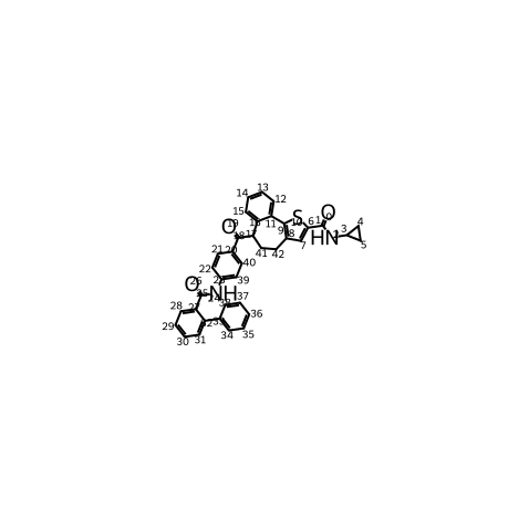 O=C(NC1CC1)c1cc2c(s1)-c1ccccc1C(C(=O)c1ccc(NC(=O)c3ccccc3-c3ccccc3)cc1)CC2